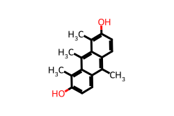 Cc1c2ccc(O)c(C)c2c(C)c2c(C)c(O)ccc12